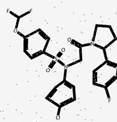 O=C(CN(c1ccc(Cl)cc1)S(=O)(=O)c1ccc(OC(F)F)cc1)N1CCCC1c1ccc(F)cc1